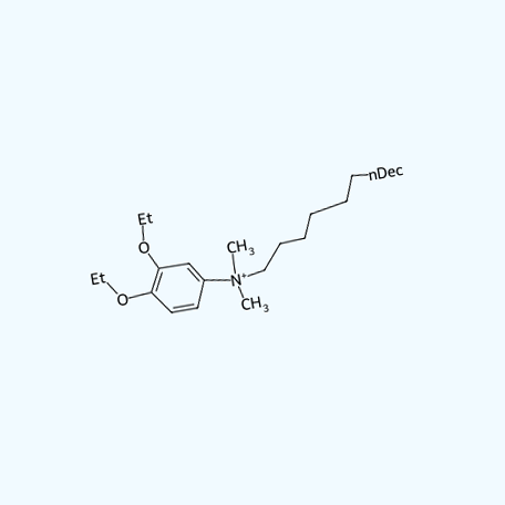 CCCCCCCCCCCCCCCC[N+](C)(C)c1ccc(OCC)c(OCC)c1